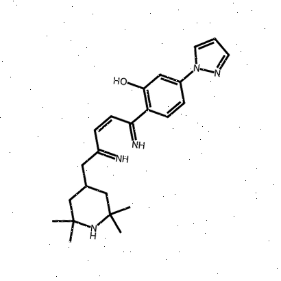 CC1(C)CC(CC(=N)/C=C\C(=N)c2ccc(-n3cccn3)cc2O)CC(C)(C)N1